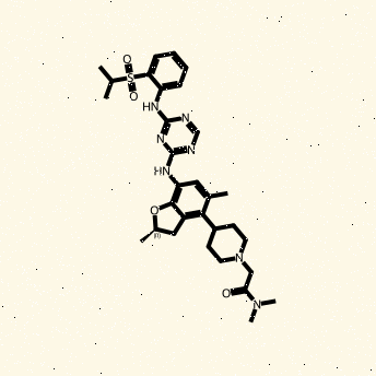 Cc1cc(Nc2ncnc(Nc3ccccc3S(=O)(=O)C(C)C)n2)c2c(c1C1CCN(CC(=O)N(C)C)CC1)C[C@@H](C)O2